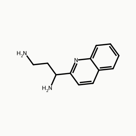 NCCC(N)c1ccc2ccccc2n1